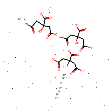 O=C([O-])CC(O)(CC(=O)[O-])C(=O)[O-].O=C([O-])CC(O)(CC(=O)[O-])C(=O)[O-].O=C([O-])CC(O)(CC(=O)[O-])C(=O)[O-].[K+].[K+].[K+].[K+].[K+].[K+].[K+].[K+].[K+]